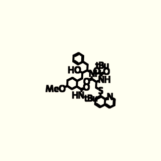 COC1CCC(CC(O)C(Cc2ccccc2)NC(=O)C(CSc2cccc3cccnc23)NC(=O)OC(C)(C)C)C(C(=O)NC(C)(C)C)C1